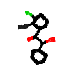 COc1c(Cl)cccc1C(=O)C(O)c1ccccc1